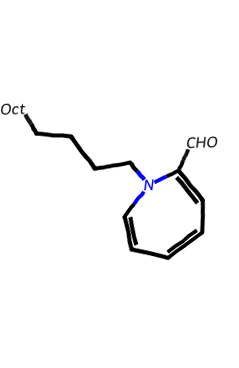 CCCCCCCCCCCCN1C=CC=CC=C1C=O